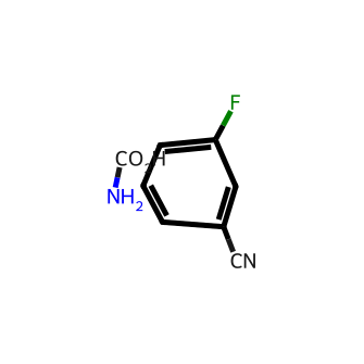 N#Cc1cccc(F)c1.NC(=O)O